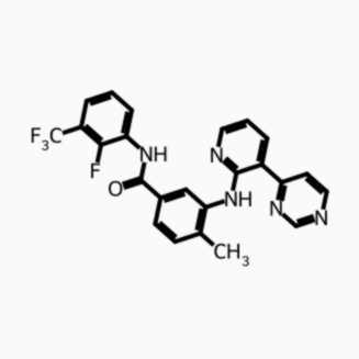 Cc1ccc(C(=O)Nc2cccc(C(F)(F)F)c2F)cc1Nc1ncccc1-c1ccncn1